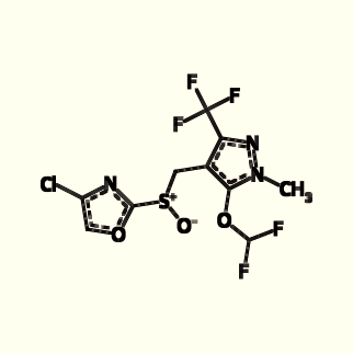 Cn1nc(C(F)(F)F)c(C[S+]([O-])c2nc(Cl)co2)c1OC(F)F